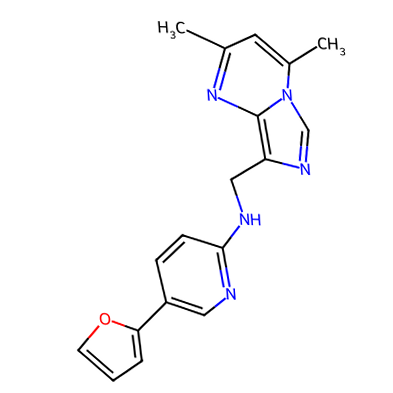 Cc1cc(C)n2cnc(CNc3ccc(-c4ccco4)cn3)c2n1